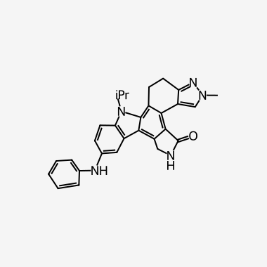 CC(C)n1c2ccc(Nc3ccccc3)cc2c2c3c(c4c(c21)CCc1nn(C)cc1-4)C(=O)NC3